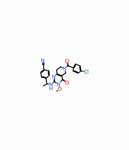 COn1c(NC(C)c2ccc(C#N)cc2)nc2c(c1=O)CN(C(=O)c1ccc(Cl)cc1)CC2